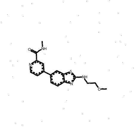 CNC(=O)c1cc(-c2ccc3nc(NCCOC)sc3c2)ccn1